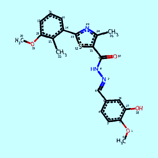 COc1ccc(/C=N/NC(=O)c2sc(-c3cccc(OC)c3C)nc2C)cc1O